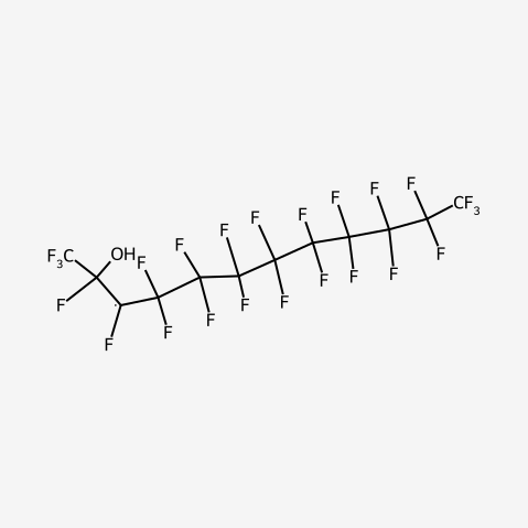 OC(F)([C](F)C(F)(F)C(F)(F)C(F)(F)C(F)(F)C(F)(F)C(F)(F)C(F)(F)C(F)(F)C(F)(F)F)C(F)(F)F